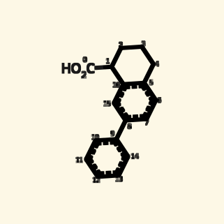 O=C(O)C1CCCc2ccc(-c3ccccc3)cc21